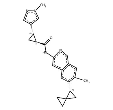 Cc1cc2cnc(NC(=O)[C@H]3C[C@@H]3c3cnn(C)c3)cc2cc1[C@@H]1CC12CC2